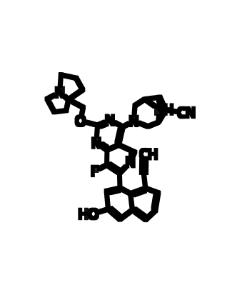 C#Cc1cccc2cc(O)cc(-c3ncc4c(N5CC6C=C(C#N)C(C5)N6)nc(OCC56CCCN5CCC6)nc4c3F)c12